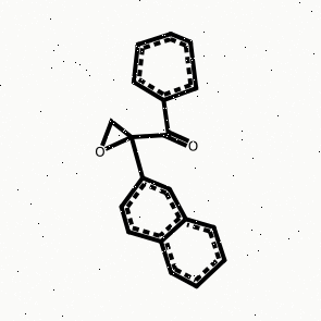 O=C(c1ccccc1)C1(c2ccc3ccccc3c2)CO1